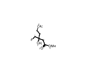 COC(=O)CC(O)(CF)CCOC(C)=O